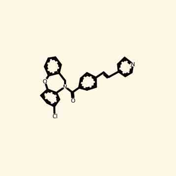 O=C(c1ccc(C=Cc2ccncc2)cc1)N1Cc2ccccc2Oc2ccc(Cl)cc21